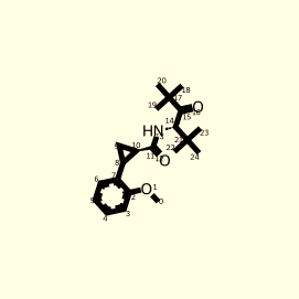 COc1ccccc1C1C[C@H]1C(=O)N[C@H](C(=O)C(C)(C)C)C(C)(C)C